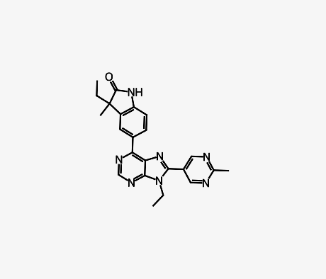 CCn1c(-c2cnc(C)nc2)nc2c(-c3ccc4c(c3)C(C)(CC)C(=O)N4)ncnc21